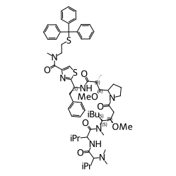 CC[C@H](C)[C@@H]([C@@H](CC(=O)N1CCCC1[C@H](OC)[C@@H](C)C(=O)N[C@@H](Cc1ccccc1)c1nc(C(=O)N(C)CCSC(c2ccccc2)(c2ccccc2)c2ccccc2)cs1)OC)N(C)C(=O)C(NC(=O)C(C(C)C)N(C)C)C(C)C